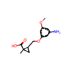 COc1cc(N)cc(OCC2CC2(C)C(=O)O)c1